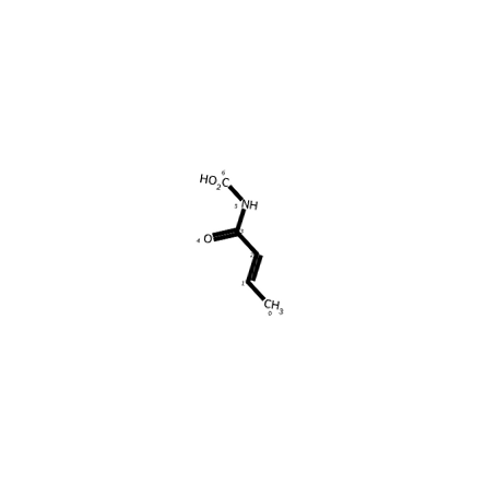 C/C=C/C(=O)NC(=O)O